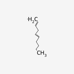 [CH2]C=CCC=CCCCC